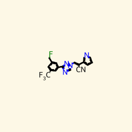 N#C/C(=C\n1cnc(-c2cc(CF)cc(C(F)(F)F)c2)n1)c1cccnc1